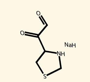 O=CC(=O)C1CSCN1.[NaH]